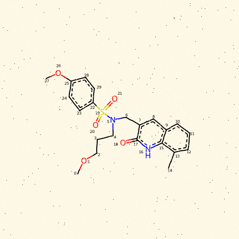 COCCCN(Cc1cc2cccc(C)c2[nH]c1=O)S(=O)(=O)c1ccc(OC)cc1